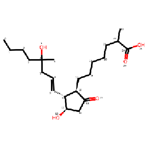 CCCCC(C)(O)C/C=C/[C@H]1[C@H](O)CC(=O)[C@@H]1CCCCCC(C)C(=O)O